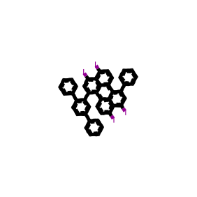 Ic1ccc2c3c(-c4cc(-c5ccccc5)ccc4-c4ccccc4)cc(I)c4c(I)ccc(c5c(-c6ccccc6)cc(I)c1c25)c43